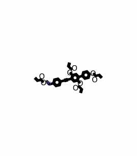 C=CC(=O)O/C=C/c1ccc(C#Cc2cc(OC(=O)C=C)c(-c3ccc(OC(=O)C=C)cc3)cc2OC(=O)C=C)cc1